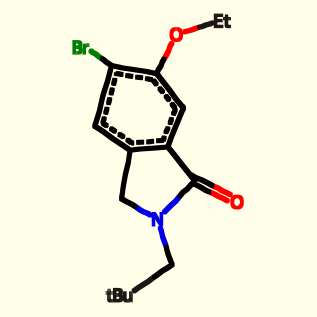 CCOc1cc2c(cc1Br)CN(CC(C)(C)C)C2=O